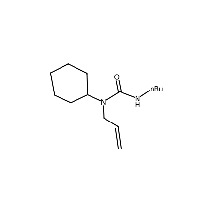 C=CCN(C(=O)NCCCC)C1CCCCC1